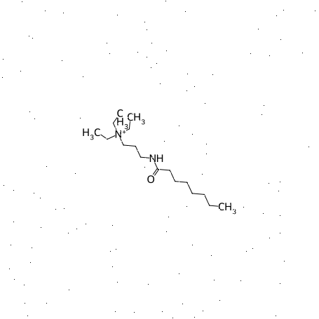 CCCCCCCC(=O)NCCC[N+](CC)(CC)CC